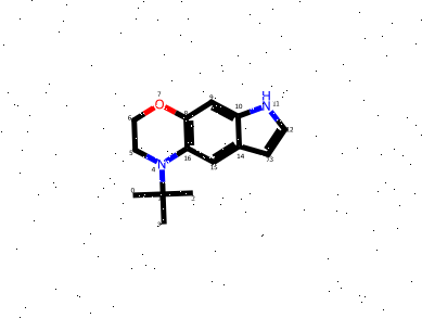 CC(C)(C)N1CCOc2cc3[nH]ccc3cc21